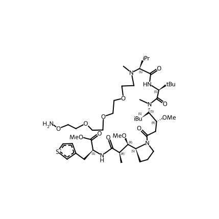 CC[C@H](C)[C@@H]([C@@H](CC(=O)N1CCC[C@H]1[C@H](OC)[C@@H](C)C(=O)N[C@@H](Cc1ccsc1)C(=O)OC)OC)N(C)C(=O)[C@@H](NC(=O)[C@H](C(C)C)N(C)CCOCCOCCOCCON)C(C)(C)C